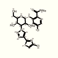 CNC(=O)c1ncc(Cl)cc1S[C@H]1OC(CO)[C@H](O)C(n2cc(-c3nc(Cl)cs3)nn2)C1OC